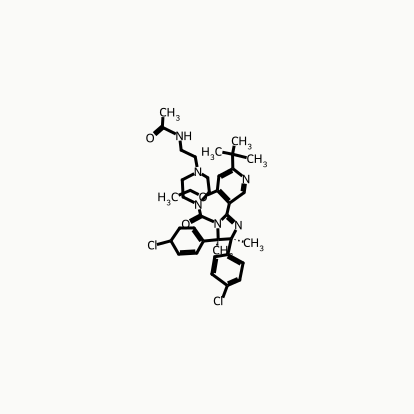 CCOc1cc(C(C)(C)C)ncc1C1=N[C@@](C)(c2ccc(Cl)cc2)[C@@](C)(C2=CCC(Cl)C=C2)N1C(=O)N1CCN(CCNC(C)=O)CC1